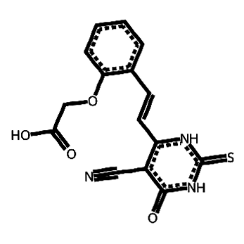 N#Cc1c(C=Cc2ccccc2OCC(=O)O)[nH]c(=S)[nH]c1=O